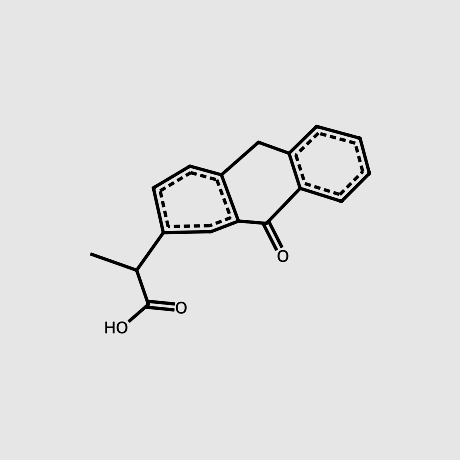 CC(C(=O)O)c1ccc2c(c1)C(=O)c1ccccc1C2